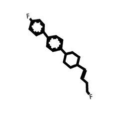 FCCC=CC1CCC(c2ccc(-c3ccc(F)cc3)cc2)CC1